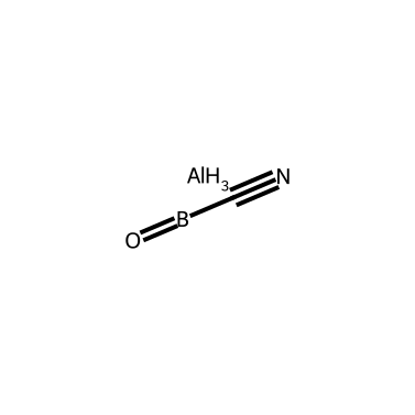 N#CB=O.[AlH3]